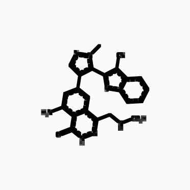 Cn1ncc(-c2cc(N)c3c(=O)[nH]nc(CNC(=O)O)c3c2)c1-c1sc2ccccc2c1C#N